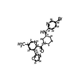 Cc1cnc(C(=O)N2CCCC(Nc3ccc(Br)cn3)C2)c(-c2ncco2)c1